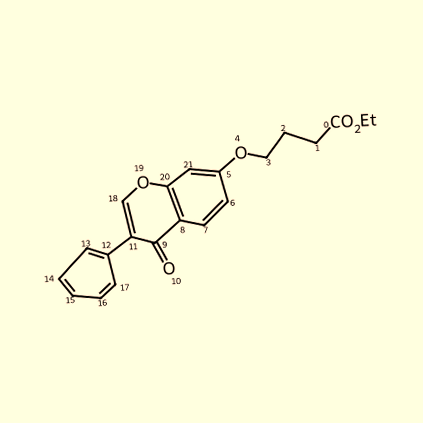 CCOC(=O)CCCOc1ccc2c(=O)c(-c3ccccc3)coc2c1